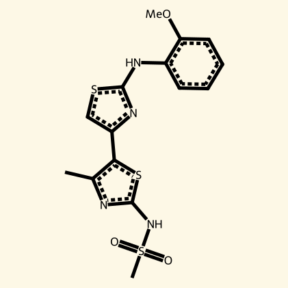 COc1ccccc1Nc1nc(-c2sc(NS(C)(=O)=O)nc2C)cs1